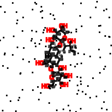 C=C[C@](C)(O)CC[C@@H]1[C@@]2(C)CC[C@H](O[C@@H]3O[C@H](CO)[C@@H](O)[C@H](O)[C@H]3O)[C@@](C)(CO)[C@@H]2CC[C@@]1(C)O[C@@H]1OC[C@H](O)[C@H](O)[C@H]1O